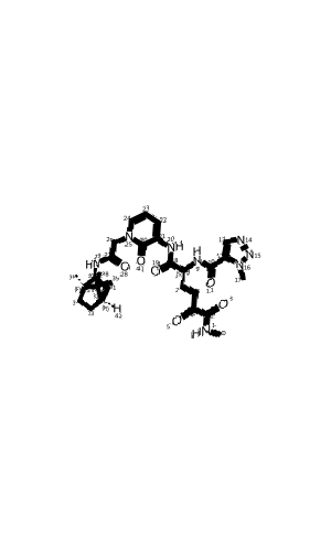 CNC(=O)C(=O)CC[C@H](NC(=O)c1cnnn1C)C(=O)Nc1cccn(CC(=O)N[C@H]2C[C@H]3CC[C@]2(C)C3(C)C)c1=O